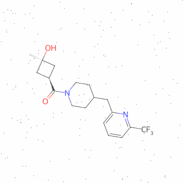 C[C@]1(O)C[C@@H](C(=O)N2CCC(Cc3cccc(C(F)(F)F)n3)CC2)C1